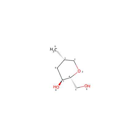 C[C@@H]1CO[C@H](CO)[C@@H](O)C1